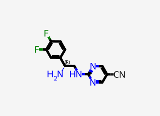 N#Cc1cnc(NC[C@H](N)c2ccc(F)c(F)c2)nc1